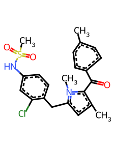 Cc1ccc(C(=O)c2c(C)cc(Cc3ccc(NS(C)(=O)=O)cc3Cl)n2C)cc1